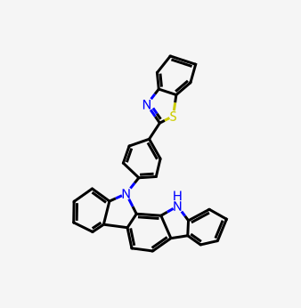 c1ccc2sc(-c3ccc(-n4c5ccccc5c5ccc6c7ccccc7[nH]c6c54)cc3)nc2c1